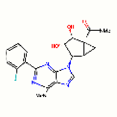 CNC(=O)[C@]12CC1[C@@H](n1cnc3c(NC)nc(-c4ccccc4F)nc31)[C@H](O)[C@@H]2O